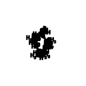 COc1cc2c(cc1OCCCCCOc1cc3c(cc1OC)C(=O)N1CC4(CC4)C[C@H]1C(O)N3C(=O)OCc1ccc(NC(=O)[C@H](C)NC(=O)[C@@H](NC(=O)CCCCNC(=O)CCC(O)N3Cc4ccccc4-c4nnn(C(C)C)c4-c4ccccc43)C(C)C)cc1)NC[C@@H]1CC3(CC3)CN1C2=O